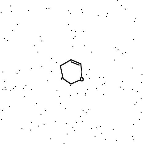 [C]1CC=COC1